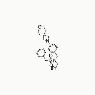 CC(C)CN(Cc1ccc(N2CC3(CCOCC3)C2)cc1)S(=O)(=O)Cc1ccccc1